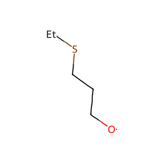 CCSCCC[O]